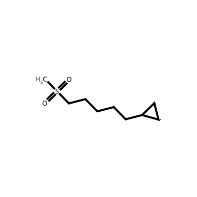 CS(=O)(=O)CCCCCC1[CH]C1